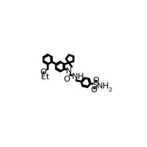 CCOCc1ccccc1-c1ccc2c(c1)C1(CCCC1)CN2C(=O)NCc1ccc(S(N)(=O)=O)cc1